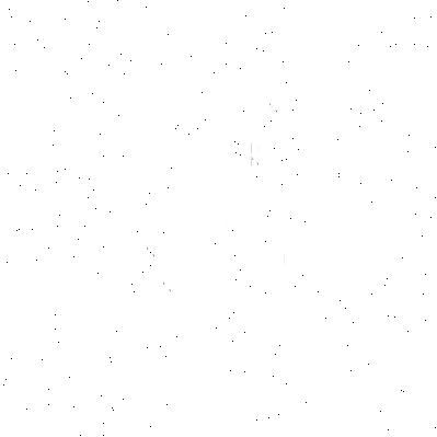 O=C(N[C@H](Cc1ccccn1)[C@H](O)CO)c1cccc(F)c1-c1cc(-c2ccc(Cl)cc2)[nH]n1